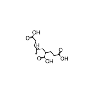 C=[PH](CCC(=O)O)CC(CCC(=O)O)C(=O)O